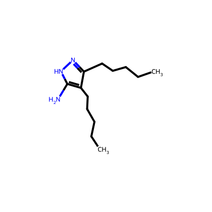 CCCCCc1n[nH]c(N)c1CCCCC